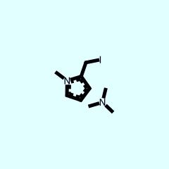 CN(C)C.Cn1cccc1CI